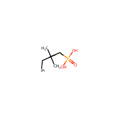 CC(C)CC(C)(C)CP(=O)(O)O